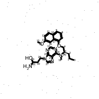 CCC[C@H](COc1cccc2ccc(OC)cc12)N(C)c1ncnc2c1ncn2CCC(N)O